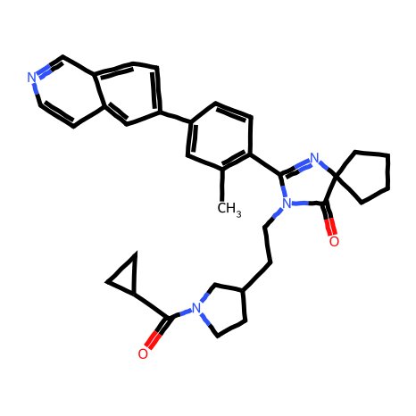 Cc1cc(-c2ccc3cnccc3c2)ccc1C1=NC2(CCCC2)C(=O)N1CCC1CCN(C(=O)C2CC2)C1